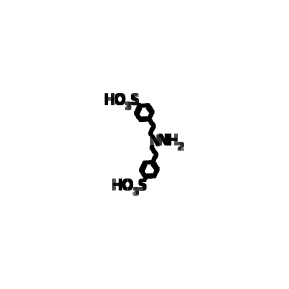 NN(CCc1ccc(S(=O)(=O)O)cc1)CCc1ccc(S(=O)(=O)O)cc1